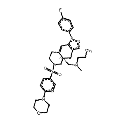 CN(CCO)C[C@]12Cc3cnn(-c4ccc(F)cc4)c3C=C1CCN(S(=O)(=O)c1ccc(N3CCOCC3)nc1)C2